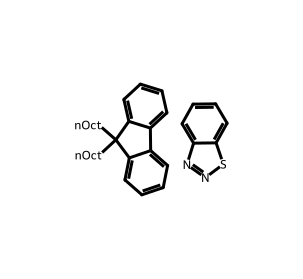 CCCCCCCCC1(CCCCCCCC)c2ccccc2-c2ccccc21.c1ccc2snnc2c1